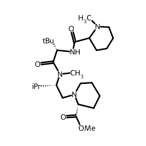 COC(=O)[C@H]1CCCCN1C[C@H](C(C)C)N(C)C(=O)[C@@H](NC(=O)C1CCCCN1C)C(C)(C)C